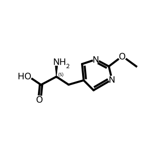 COc1ncc(C[C@H](N)C(=O)O)cn1